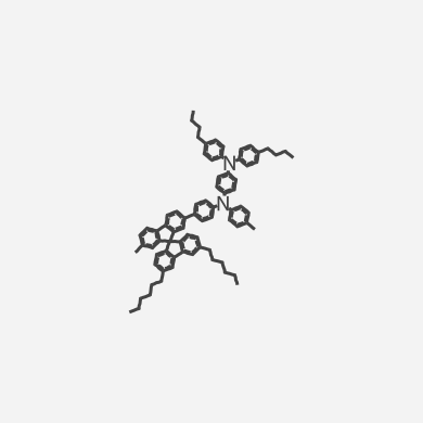 CCCCCCc1ccc2c(c1)-c1cc(CCCCCC)ccc1C21c2cc(C)ccc2-c2ccc(-c3ccc(N(c4ccc(C)cc4)c4ccc(N(c5ccc(CCCC)cc5)c5ccc(CCCC)cc5)cc4)cc3)cc21